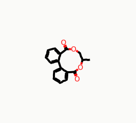 CC1COC(=O)c2ccccc2-c2ccccc2C(=O)O1